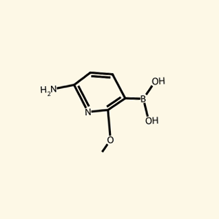 COc1nc(N)ccc1B(O)O